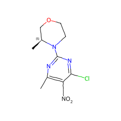 Cc1nc(N2CCOC[C@@H]2C)nc(Cl)c1[N+](=O)[O-]